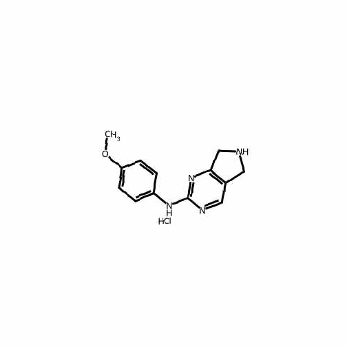 COc1ccc(Nc2ncc3c(n2)CNC3)cc1.Cl